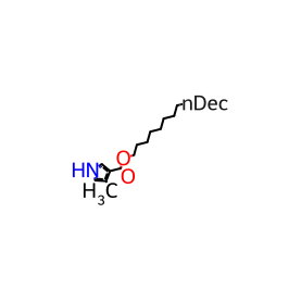 CCCCCCCCCCCCCCCCCCOC(=O)c1c[nH]cc1C